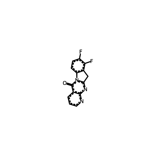 O=c1c2cccnc2nc2n1-c1ccc(F)c(F)c1C2